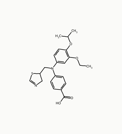 CCOc1cc(N(CC2CN=CS2)c2ccc(C(=O)O)cc2)ccc1OC(C)C